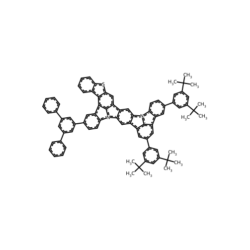 CC(C)(C)c1cc(-c2ccc3c(c2)c2cc(-c4cc(C(C)(C)C)cc(C(C)(C)C)c4)cc4c5cc6c(cc5n3c24)c2cc3sc4ccccc4c3c3c4cc(-c5cc(-c7ccccc7)cc(-c7ccccc7)c5)ccc4n6c23)cc(C(C)(C)C)c1